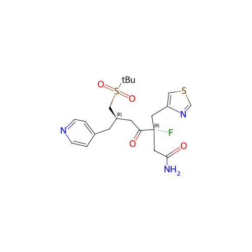 CC(C)(C)S(=O)(=O)C[C@@H](CC(=O)[C@](F)(CC(N)=O)Cc1cscn1)Cc1ccncc1